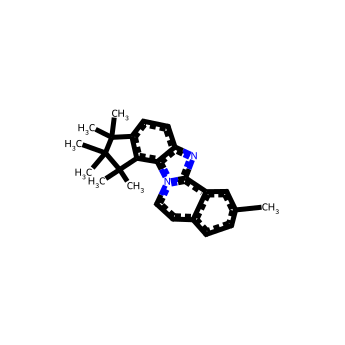 Cc1ccc2ccn3c(nc4ccc5c(c43)C(C)(C)C(C)(C)C5(C)C)c2c1